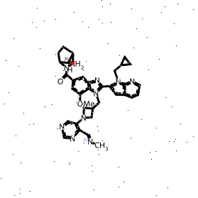 C/N=C/c1ncncc1N1CC(Cn2c(-c3cc4cccnc4n3CC3CC3)nc3cc(C(=O)N4CC5CCC4[C@@H]5N)cc(OC)c32)C1